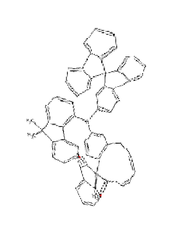 C=C1/C=C\C=C/Cc2cc(N(c3ccc4c(c3)C3(c5ccccc5-c5ccccc53)c3ccccc3-4)c3cccc4c3-c3ccccc3C4(C)C)ccc2C12c1ccccc1-c1ccccc12